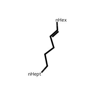 C[CH]CCCCCCCC/C=C/CCCCCC